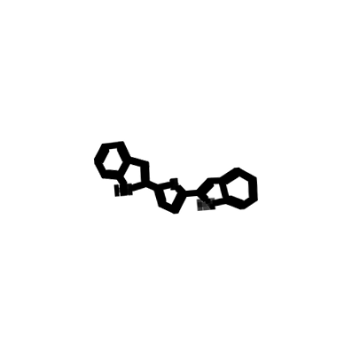 c1ccc2[nH]c(-c3ccc(-c4cc5ccccc5[nH]4)s3)cc2c1